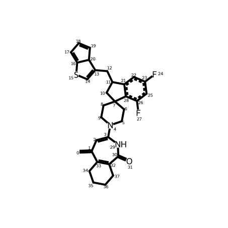 C=C1C=C(N2CCC3(CC2)CC(CC2=CSC4=CC=CC24)c2cc(F)cc(F)c23)NC(=O)C2=C1CCCC2